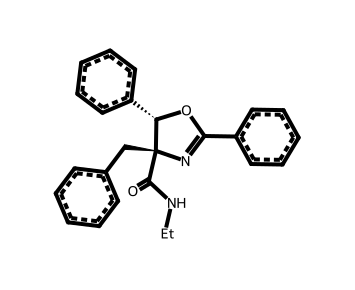 CCNC(=O)[C@@]1(Cc2ccccc2)N=C(c2ccccc2)O[C@H]1c1ccccc1